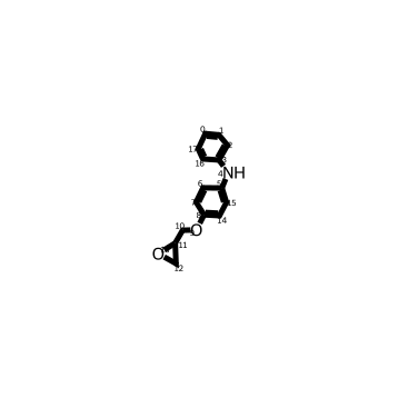 c1ccc(Nc2ccc(OCC3CO3)cc2)cc1